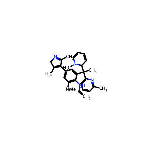 C=CNc1c(NC)cc(C2=C(C)CN=C2C)cc1C(C)(c1cccc(C)n1)C1C=CC=CN1C